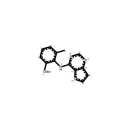 COc1cccc(C)c1Nc1ncnc2ccsc12